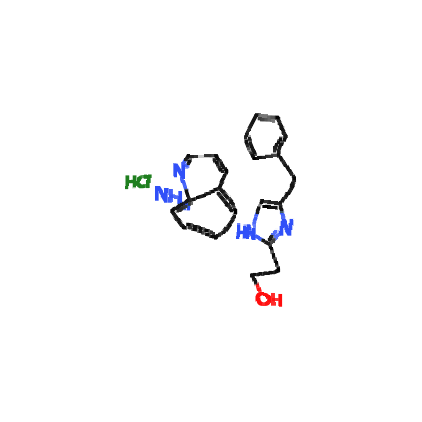 Cl.N.OCCc1nc(Cc2ccccc2)c[nH]1.c1ccc2ncccc2c1